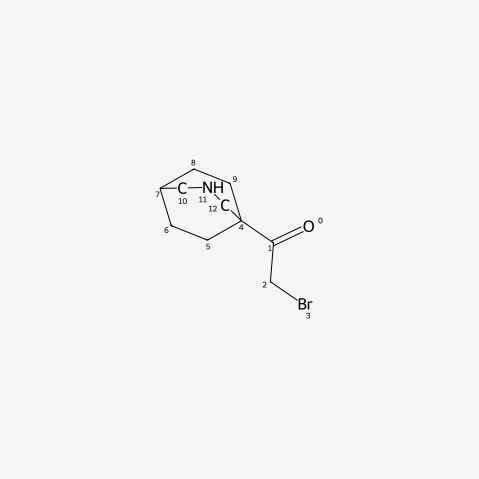 O=C(CBr)C12CCC(CC1)CNC2